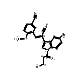 COc1ccc(C#N)cc1C=C(C#N)c1cn(C(=O)CCO)c2ccc(Br)cc12